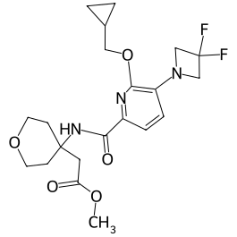 COC(=O)CC1(NC(=O)c2ccc(N3CC(F)(F)C3)c(OCC3CC3)n2)CCOCC1